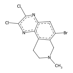 CN1CCc2c(c(Br)cc3nc(Cl)c(Cl)nc23)C1